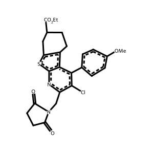 CCOC(=O)C1CCc2c(sc3nc(CN4C(=O)CCC4=O)c(Cl)c(-c4ccc(OC)cc4)c23)C1